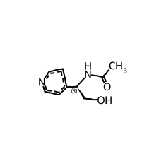 CC(=O)N[C@@H](CO)c1ccncc1